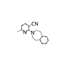 Cc1ccc(C#N)c(N2CCc3ccccc3CC2)n1